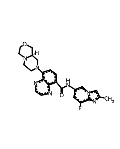 Cc1cn2cc(NC(=O)c3ccc(N4CCN5CCOC[C@H]5C4)c4nccnc34)cc(F)c2n1